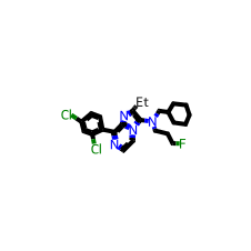 CCc1nc2c(-c3ccc(Cl)cc3Cl)nccn2c1N(CCCF)CC1CCCCC1